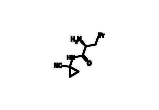 CC(C)C[C@H](N)C(=O)NC1(C#N)CC1